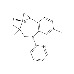 Cc1ccc2c(c1)N(c1ccccn1)CC(C)(C)[C@@H]1CC21